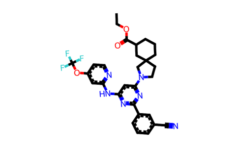 CCOC(=O)C1CCCC2(CCN(c3cc(Nc4cc(OC(F)(F)F)ccn4)nc(-c4cccc(C#N)c4)n3)C2)C1